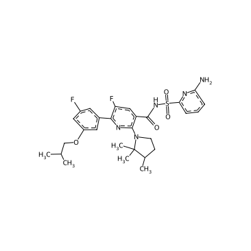 CC(C)COc1cc(F)cc(-c2nc(N3CCC(C)C3(C)C)c(C(=O)NS(=O)(=O)c3cccc(N)n3)cc2F)c1